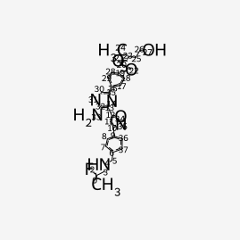 CC(F)CNCc1ccc(-c2cc(-c3nc(-c4ccc(S(=O)(=O)C(C)CCO)cc4)cnc3N)on2)cc1